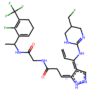 C=C/C(NC1=NCC(CF)CN1)=c1/cn[nH]/c1=C/CC(=O)NCC(=O)NC(C)C1=CCCC(C(F)(F)F)=C1F